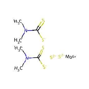 CN(C)C(=S)[S-].CN(C)C(=S)[S-].[Mo+6].[S-2].[S-2]